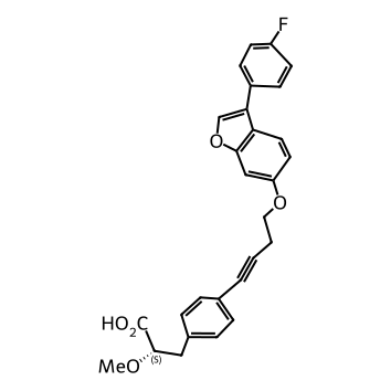 CO[C@@H](Cc1ccc(C#CCCOc2ccc3c(-c4ccc(F)cc4)coc3c2)cc1)C(=O)O